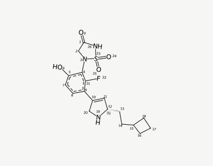 O=C1CN(c2c(O)ccc(C3=C[C@H](CCC4CCC4)NC3)c2F)S(=O)(=O)N1